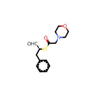 O=C[C@H](Cc1ccccc1)SC(=O)CN1CCOCC1